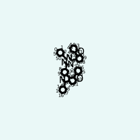 c1ccc(-c2nc(-c3ccc4nc(-c5ccccc5)c5ccc6oc7ccccc7c6c5c4c3)nc(-c3cccc4oc5ccccc5c34)n2)cc1